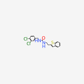 O=C(NCCc1cc2ccccc2s1)NCc1ccc(Cl)c(Cl)c1